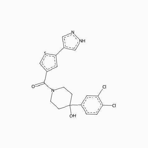 O=C(c1csc(-c2cn[nH]c2)c1)N1CCC(O)(c2ccc(Cl)c(Cl)c2)CC1